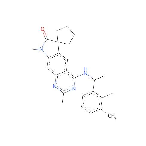 Cc1nc(NC(C)c2cccc(C(F)(F)F)c2C)c2cc3c(cc2n1)N(C)C(=O)C31CCCC1